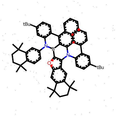 CC(C)(C)c1ccc(N2c3cc4ccccc4c4c3B(c3oc5cc6c(cc5c32)C(C)(C)CCC6(C)C)N(c2ccc3c(c2)C(C)(C)CCC3(C)C)c2cc(C(C)(C)C)ccc2-4)c(-c2ccccc2)c1